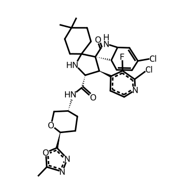 Cc1nnc([C@@H]2CC[C@@H](NC(=O)[C@@H]3NC4(CCC(C)(C)CC4)[C@@]4(C(=O)NC5C=C(Cl)C=CC54)[C@H]3c3ccnc(Cl)c3F)CO2)o1